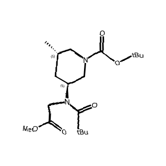 COC(=O)CN(C(=O)C(C)(C)C)[C@H]1C[C@H](C)CN(C(=O)OC(C)(C)C)C1